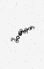 CC(C)OCCOCCNC(=O)c1ccc([C@H]2CC[C@H](C(=O)C(C)C)CC2)cn1